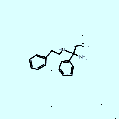 C[CH]C(N)(NCCc1ccccc1)c1ccccc1